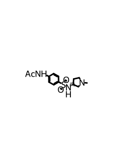 CC(=O)Nc1ccc(S(=O)(=O)N[C@@H]2CCN(C)C2)cc1